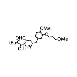 COCCCOc1cc(CC(CC(C=O)NC(=O)OC(C)(C)C)C(C)C)ccc1OC